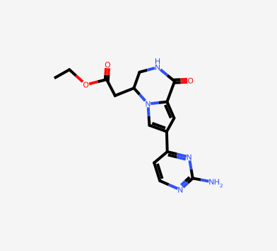 CCOC(=O)CC1CNC(=O)c2cc(-c3ccnc(N)n3)cn21